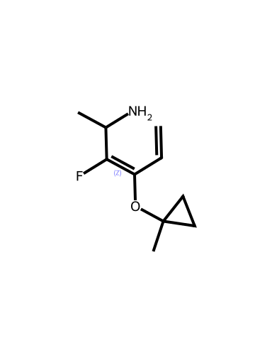 C=C/C(OC1(C)CC1)=C(/F)C(C)N